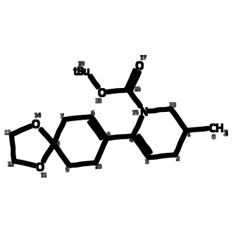 CC1CC=C(C2=CCC3(CC2)OCCO3)N(C(=O)OC(C)(C)C)C1